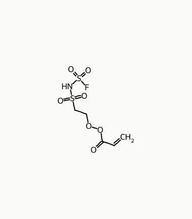 C=CC(=O)OOCCS(=O)(=O)NS(=O)(=O)F